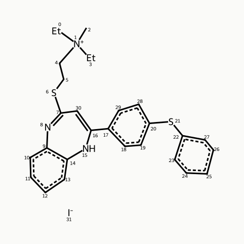 CC[N+](C)(CC)CCSC1=Nc2ccccc2NC(c2ccc(Sc3ccccc3)cc2)=C1.[I-]